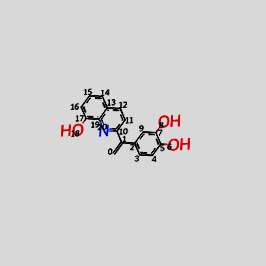 C=C(c1ccc(O)c(O)c1)c1ccc2cccc(O)c2n1